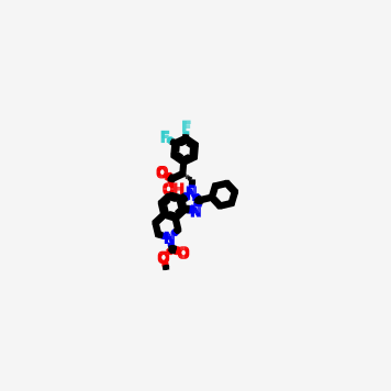 COC(=O)N1CCc2ccc3c(nc(C4CCCCC4)n3C[C@H](C(=O)O)c3ccc(F)c(F)c3)c2C1